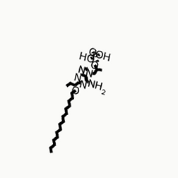 CCCCCCCCCCCCCCCCOC(CC)c1nc(N)c2c(ncn2CC(C)OCP(=O)(O)O)n1